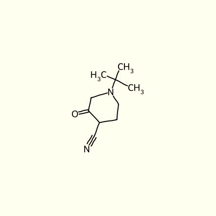 CC(C)(C)N1CCC(C#N)C(=O)C1